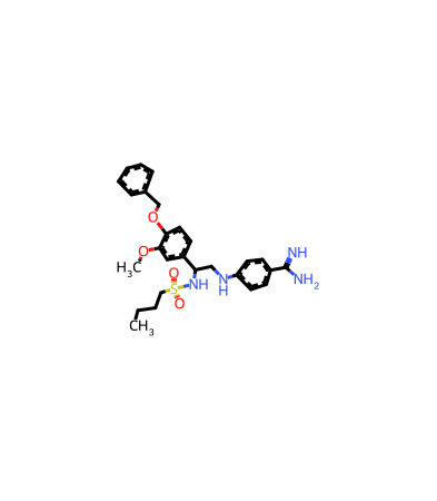 CCCCS(=O)(=O)NC(CNc1ccc(C(=N)N)cc1)c1ccc(OCc2ccccc2)c(OC)c1